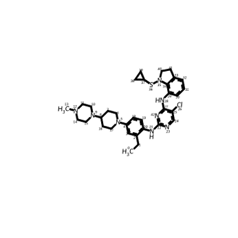 CCc1cc(N2CCC(N3CCN(C)CC3)CC2)ccc1Nc1ncc(Cl)c(Nc2cccc3c2N(SC2CC2)CC3)n1